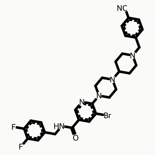 N#Cc1ccc(CN2CCC(N3CCN(c4ncc(C(=O)NCc5ccc(F)c(F)c5)cc4Br)CC3)CC2)cc1